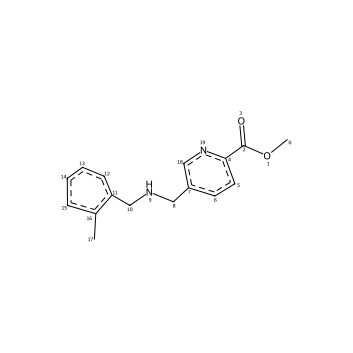 COC(=O)c1ccc(CNCc2ccccc2C)cn1